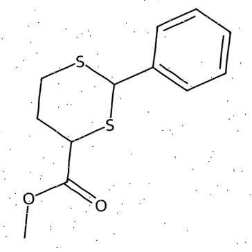 COC(=O)C1CCSC(c2ccccc2)S1